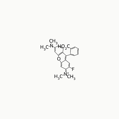 CN(C)c1ccc2c(-c3ccccc3C(=O)O)c3cc(F)c(=[N+](C)C)cc-3oc2c1